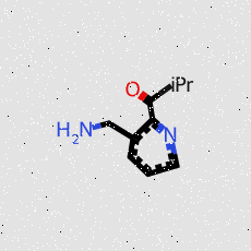 CC(C)C(=O)c1ncccc1CN